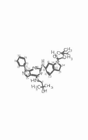 CC(C)(O)CNc1nc(Nc2ccc3c(c2)N(C(=O)OC(C)(C)C)CC3)nc2c1cnn2-c1ccccc1